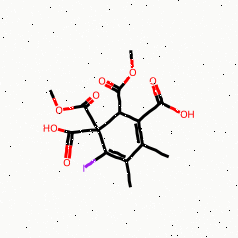 COC(=O)C1C(C(=O)O)=C(C)C(C)=C(I)C1(C(=O)O)C(=O)OC